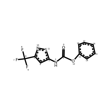 O=C(Nc1cc(C(F)(F)F)ns1)Oc1ccccc1